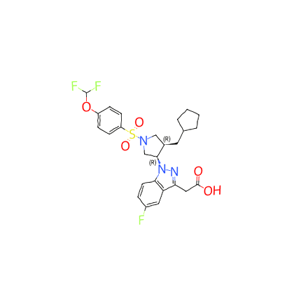 O=C(O)Cc1nn([C@H]2CN(S(=O)(=O)c3ccc(OC(F)F)cc3)C[C@H]2CC2CCCC2)c2ccc(F)cc12